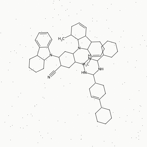 CC1=CCCC2C3C=CCC(C)C3N(C3CC(N4c5ccccc5C5CCCCC54)C(C#N)CC3C3NC(C4CC=C(C5CCCCC5)CC4)NC(C4CCCCC4)N3)C12